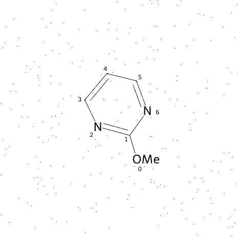 [CH2]Oc1ncccn1